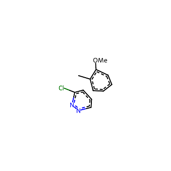 COc1ccccc1C.Clc1cccnn1